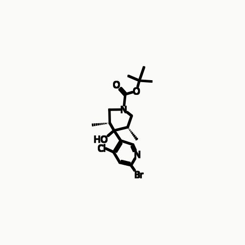 C[C@@H]1CN(C(=O)OC(C)(C)C)C[C@H](C)C1(O)c1cnc(Br)cc1Cl